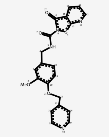 COc1cc(CNC(=O)n2sc3ncccc3c2=O)ccc1OCc1ccncc1